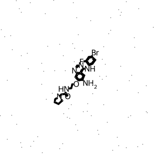 Nc1cc2c(Nc3ccc(Br)cc3F)ncnc2cc1OCCNC(=O)CN1CCCC1